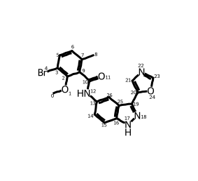 COc1c(Br)ccc(C)c1C(=O)Nc1ccc2[nH]nc(-c3cnco3)c2c1